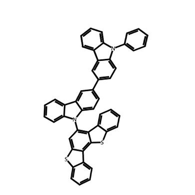 c1ccc(-n2c3ccccc3c3cc(-c4ccc5c(c4)c4ccccc4n5-c4cc5sc6ccccc6c5c5sc6ccccc6c45)ccc32)cc1